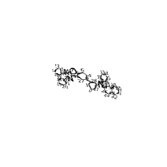 c1cc(-c2ccc3oc4nc5c6ccccc6c6ccccc6c5nc4c3c2)cc(-n2c3ccccc3c3c4ccccc4ccc32)c1